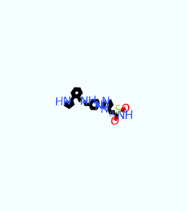 O=C1NC(=O)/C(=C/c2ccnc(N3CCC(CNCc4ccccc4-c4ccc[nH]4)CC3)n2)S1